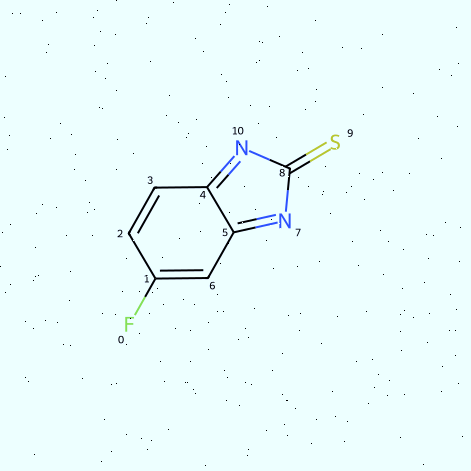 Fc1ccc2c(c1)=NC(=S)N=2